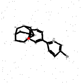 Brc1ccc(-c2ccc3c(c2)C2CC4CC(CC3C4)C2)nc1